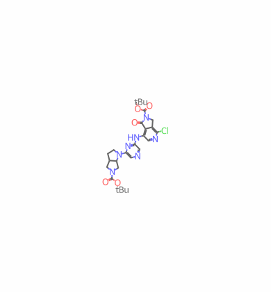 CC(C)(C)OC(=O)N1CC2CCN(c3cncc(Nc4cnc(Cl)c5c4C(=O)N(C(=O)OC(C)(C)C)C5)n3)C2C1